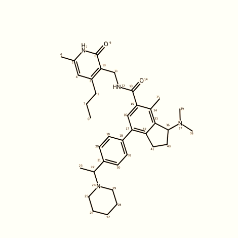 CCCc1cc(C)[nH]c(=O)c1CNC(=O)c1cc(-c2ccc(C(C)N3CCCCC3)cc2)c2c(c1C)C(N(C)C)CC2